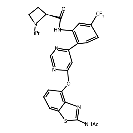 CC(=O)Nc1nc2c(Oc3cc(-c4ccc(C(F)(F)F)cc4NC(=O)[C@@H]4CCN4C(C)C)ncn3)cccc2s1